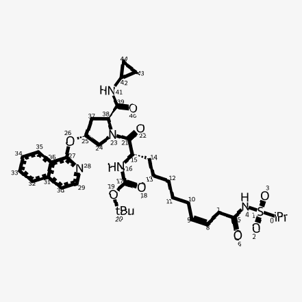 CC(C)S(=O)(=O)NC(=O)C/C=C\CCCCC[C@H](NC(=O)OC(C)(C)C)C(=O)N1C[C@H](Oc2nccc3ccccc23)C[C@H]1C(=O)NC1CC1